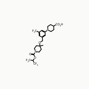 CC1(OCc2cc(N3CCC(C(=O)O)CC3)cc(C(F)(F)F)c2)CCN(C(=O)OC(C(F)(F)F)C(F)(F)F)CC1